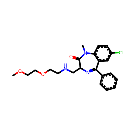 COCCOCCNCC1N=C(c2ccccc2)c2cc(Cl)ccc2N(C)C1=O